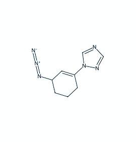 [N-]=[N+]=NC1C=C(n2cncn2)CCC1